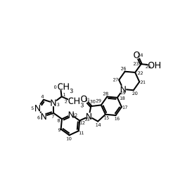 CC(C)n1cnnc1-c1cccc(N2Cc3ccc(N4CCC(C(=O)O)CC4)cc3C2=O)n1